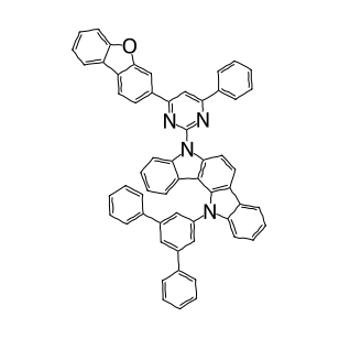 c1ccc(-c2cc(-c3ccccc3)cc(-n3c4ccccc4c4ccc5c(c6ccccc6n5-c5nc(-c6ccccc6)cc(-c6ccc7c(c6)oc6ccccc67)n5)c43)c2)cc1